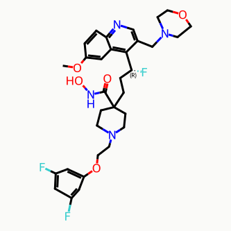 COc1ccc2ncc(CN3CCOCC3)c([C@H](F)CCC3(C(=O)NO)CCN(CCOc4cc(F)cc(F)c4)CC3)c2c1